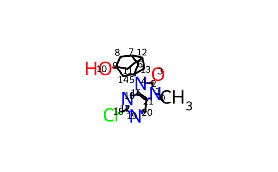 Cn1c(=O)n(C23CC4CC(O)(CC4C2)C3)c2nc(Cl)ncc21